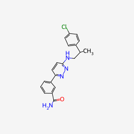 CC(CNc1ccc(-c2cccc(C(N)=O)c2)nn1)c1ccc(Cl)cc1